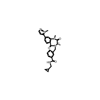 C[C@@H]1C(=O)N(C)c2cc(-c3ccnn3C)ccc2C(=O)N1Cc1cccc(C(=O)NCC2CC2)c1